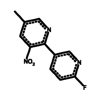 Cc1cnc(-c2ccc(F)nc2)c([N+](=O)[O-])c1